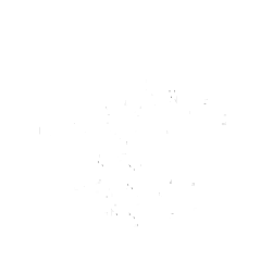 CCOc1ccc(S(=O)(=O)N(CCO)CCO)cc1-c1nn2c(C3CCCC3)nnc2c(=O)[nH]1